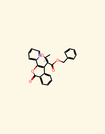 C/C(O)=C(\C(=O)OCc1ccccc1)c1c(-c2ccccn2)oc(=O)c2ccccc12